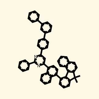 CC1(C)c2cccc(-c3ccc(-c4cc(-c5ccc(-c6cccc(-c7ccccc7)c6)cc5)nc(-c5ccccc5)n4)c4ccccc34)c2-c2c1ccc1ccccc21